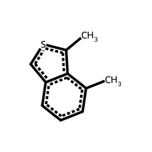 Cc1cccc2csc(C)c12